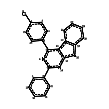 Clc1ccc(-c2nc(-c3ccccc3)nc3sc4ccccc4c23)cc1